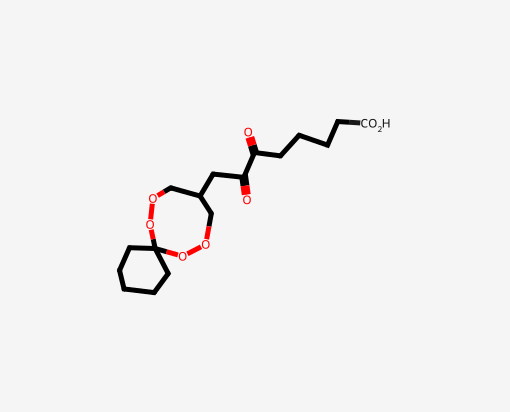 O=C(O)CCCCC(=O)C(=O)CC1COOC2(CCCCC2)OOC1